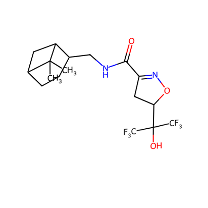 CC1(C)C2CCC(CNC(=O)C3=NOC(C(O)(C(F)(F)F)C(F)(F)F)C3)C1C2